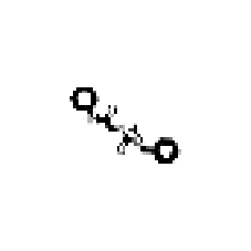 O=C(CNC(=O)OCc1ccccc1)NC1CCCCC1